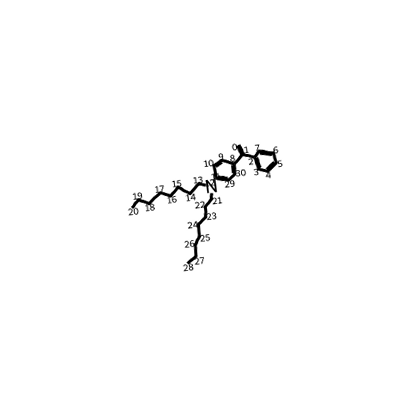 C=C(c1ccccc1)c1ccc(N(CCCCCCCC)CCCCCCCC)cc1